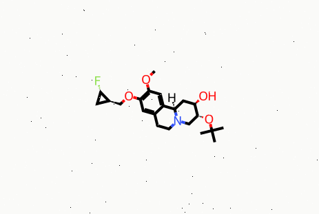 COc1cc2c(cc1OC[C@H]1C[C@@H]1F)CCN1C[C@@H](OC(C)(C)C)[C@H](O)C[C@H]21